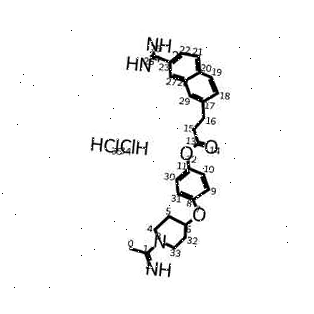 CC(=N)N1CCC(Oc2ccc(OC(=O)CCc3ccc4ccc(C(=N)N)cc4c3)cc2)CC1.Cl.Cl